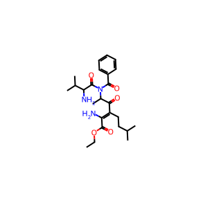 CCOC(=O)C(N)=C(CCC(C)C)C(=O)C(C)N(C(=O)c1ccccc1)C(=O)C(N)C(C)C